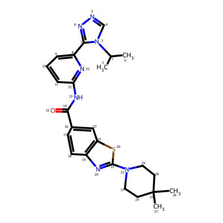 CC(C)n1cnnc1-c1cccc(NC(=O)c2ccc3nc(N4CCC(C)(C)CC4)sc3c2)n1